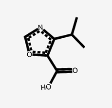 CC(C)c1ncoc1C(=O)O